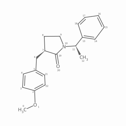 COc1ccc(C[C@H]2CCN([C@H](C)c3ccccc3)C2=O)cc1